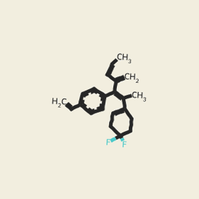 C=Cc1ccc(/C(C(=C)/C=C\C)=C(/C)C2=CCC(F)(F)CC2)cc1